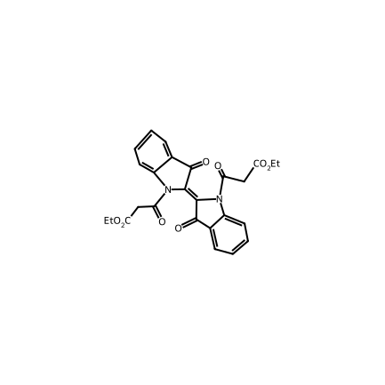 CCOC(=O)CC(=O)N1C(=C2C(=O)c3ccccc3N2C(=O)CC(=O)OCC)C(=O)c2ccccc21